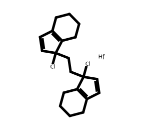 ClC1(CCC2(Cl)C=CC3=C2CCCC3)C=CC2=C1CCCC2.[Hf]